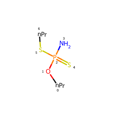 CCCOP(N)(=S)SCCC